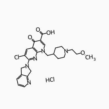 COCCN1CCC(Cn2cc(C(=O)O)c(=O)c3cc(Cl)c(N4Cc5cccnc5C4)nc32)CC1.Cl